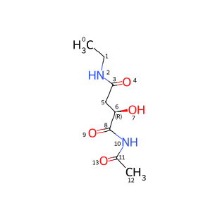 CCNC(=O)C[C@@H](O)C(=O)NC(C)=O